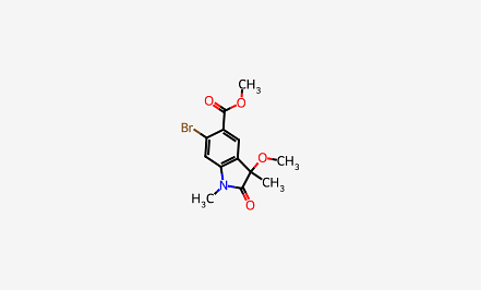 COC(=O)c1cc2c(cc1Br)N(C)C(=O)C2(C)OC